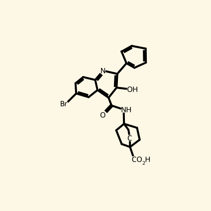 O=C(NC12CCC(C(=O)O)(CC1)CC2)c1c(O)c(-c2ccccc2)nc2ccc(Br)cc12